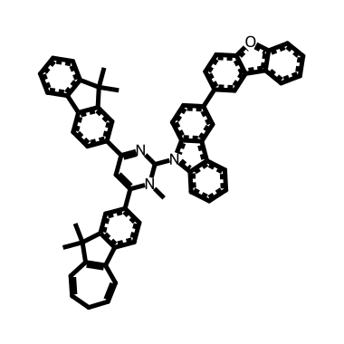 CN1C(c2ccc3c(c2)C(C)(C)C2=C3C=CCC=C2)=CC(c2ccc3c(c2)C(C)(C)c2ccccc2-3)=NC1n1c2ccccc2c2cc(-c3ccc4oc5ccccc5c4c3)ccc21